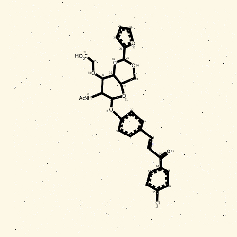 CC(=O)NC1C(Oc2ccc(/C=C/C(=O)c3ccc(Cl)cc3)cc2)OC2COC(c3ccco3)OC2C1OCC(=O)O